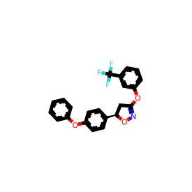 FC(F)(F)c1cccc(OC2=NO[C@@H](c3ccc(Oc4ccccc4)cc3)C2)c1